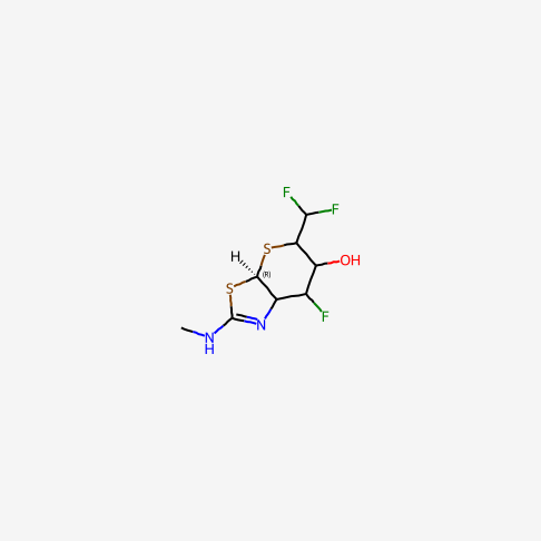 CNC1=NC2C(F)C(O)C(C(F)F)S[C@@H]2S1